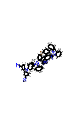 N#Cc1ccc2c(c1)c1cc(C#N)ccc1n2-c1ccc2c(c1)c1ccccc1n2-c1ccc2c(c1)C1(c3ccccc3S2)c2cccnc2-c2ncc(-n3c4ccccc4c4ccccc43)cc21